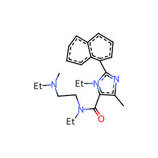 CCN(C)CCN(CC)C(=O)c1c(C)nc(-c2cccc3ccccc23)n1CC